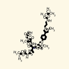 COP(=O)(O)[C@@H](COc1ccc(-c2cn(CCCNC(=O)OC(C)(C)C)[n+](C)c2)cc1)O/N=C(\C(=O)N[C@@H]1C(=O)N(OS(=O)(=O)O)C1(C)C)c1csc(NC(=O)OC(C)(C)C)n1